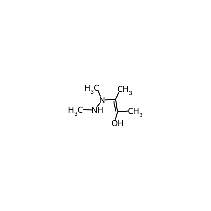 CNN(C)/C(C)=C(/C)O